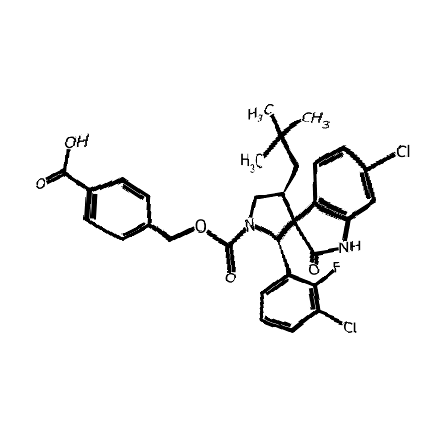 CC(C)(C)C[C@@H]1CN(C(=O)OCc2ccc(C(=O)O)cc2)[C@H](c2cccc(Cl)c2F)C12C(=O)Nc1cc(Cl)ccc12